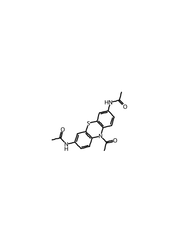 CC(=O)Nc1ccc2c(c1)Sc1cc(NC(C)=O)ccc1N2C(C)=O